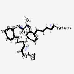 CCCCCCC/C=C/CCCc1ccccc1/N=C(CCCC)\C(CCCCCC)=N\c1ccccc1CCC/C=C/CCCCCCC.[Pd]